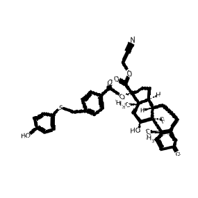 C[C@]12C=CC(=O)C=C1CC[C@H]1[C@@H]3CC[C@](OC(=O)c4ccc(CSc5ccc(O)cc5)cc4)(C(=O)OCC#N)[C@@]3(C)C[C@H](O)[C@@]12F